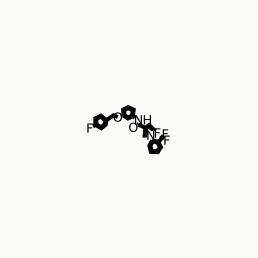 O=C(Nc1cccc(OCc2ccc(F)cc2)c1)c1ccn(-c2ccccc2C(F)(F)F)c1